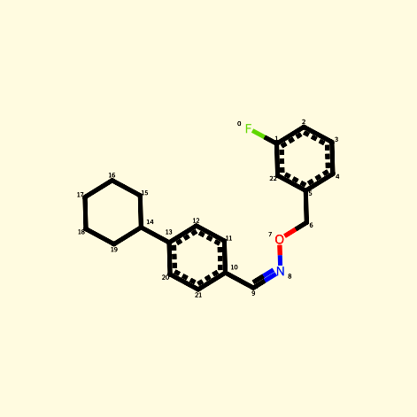 Fc1cccc(CO/N=[C]\c2ccc(C3CCCCC3)cc2)c1